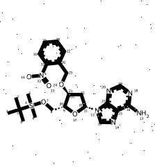 CC(C)(C)[Si](C)(C)OC[C@H]1O[C@@H](n2cnc3c(N)ncnc32)C[C@@H]1OCc1ccccc1[N+](=O)[O-]